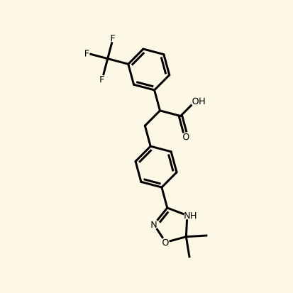 CC1(C)NC(c2ccc(CC(C(=O)O)c3cccc(C(F)(F)F)c3)cc2)=NO1